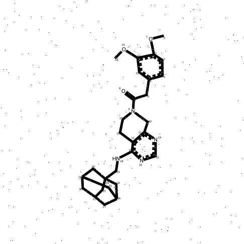 COc1ccc(CC(=O)N2CCc3c(ncnc3NCC34CC5CC(CC(C5)C3)C4)C2)cc1OC